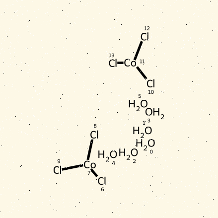 O.O.O.O.O.O.[Cl][Co]([Cl])[Cl].[Cl][Co]([Cl])[Cl]